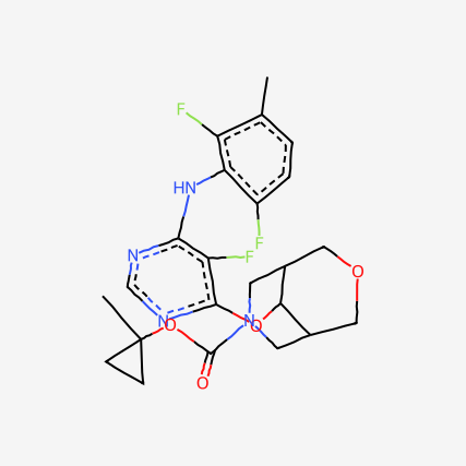 Cc1ccc(F)c(Nc2ncnc(OC3C4COCC3CN(C(=O)OC3(C)CC3)C4)c2F)c1F